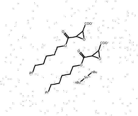 CC(C)CCCCCOC(=O)C1OC1C(=O)[O-].CC(C)CCCCCOC(=O)C1OC1C(=O)[O-].CCC[CH2][Sn+2][CH2]CCC